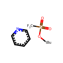 CC(C)(C)OS(=O)(=O)C(F)(F)F.c1ccncc1